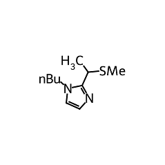 CCCCn1ccnc1C(C)SC